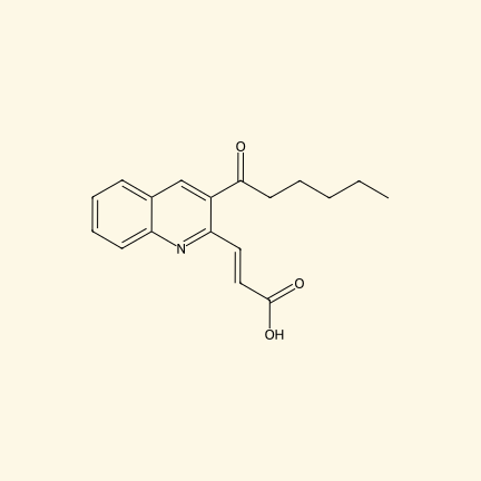 CCCCCC(=O)c1cc2ccccc2nc1C=CC(=O)O